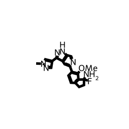 COc1c(-c2cc3c(-c4cnn(C)c4)n[nH]c3cn2)ccc2c1C(N)(F)CC2